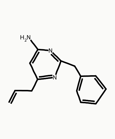 C=CCc1cc(N)nc(Cc2ccccc2)n1